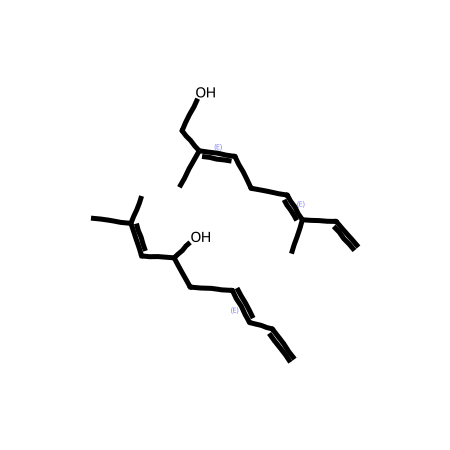 C=C/C(C)=C/C/C=C(\C)CO.C=C/C=C/CC(O)C=C(C)C